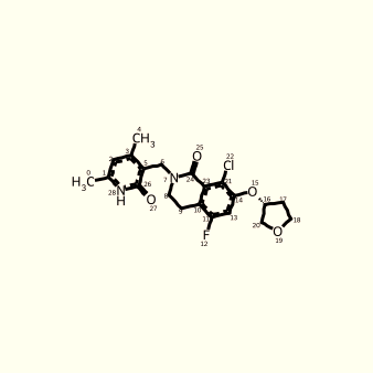 Cc1cc(C)c(CN2CCc3c(F)cc(O[C@@H]4CCOC4)c(Cl)c3C2=O)c(=O)[nH]1